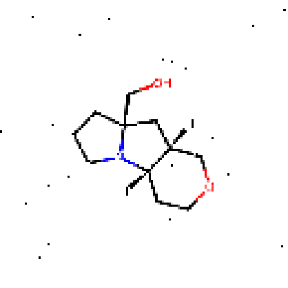 OC[C@]12CCCN1[C@H]1CCOC[C@H]1C2